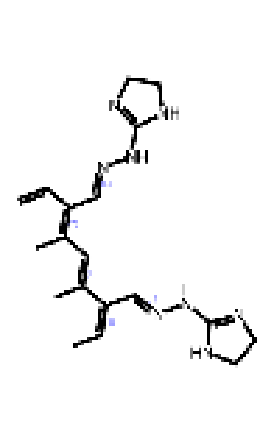 C=CC(/C=N/NC1=NCCN1)=C(C)/C=C(C)/C(/C=N/NC1=NCCN1)=C\C